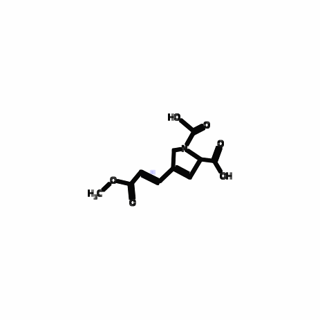 COC(=O)/C=C/C1=CC(C(=O)O)N(C(=O)O)C1